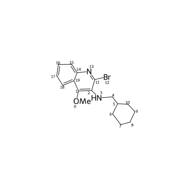 COc1c(NCC2CCCCC2)c(Br)nc2ccccc12